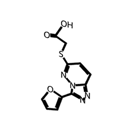 O=C(O)CSc1ccc2nnc(-c3ccco3)n2n1